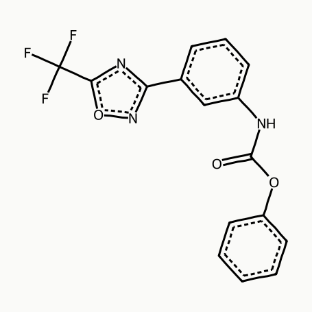 O=C(Nc1cccc(-c2noc(C(F)(F)F)n2)c1)Oc1ccccc1